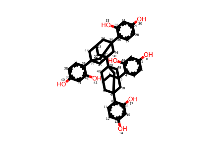 Oc1ccc(C23CC4CC(c5ccc(O)cc5O)(C2)CC(C25CC6CC(c7ccc(O)cc7O)(CC(c7ccc(O)cc7O)(C6)C2)C5)(C4)C3)c(O)c1